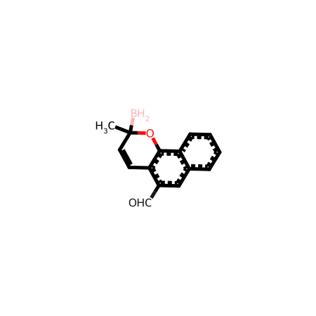 BC1(C)C=Cc2c(C=O)cc3ccccc3c2O1